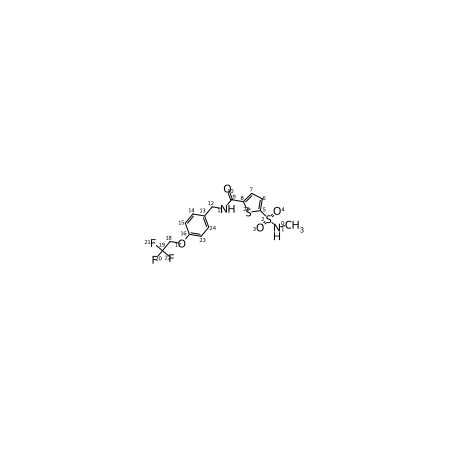 CNS(=O)(=O)c1ccc(C(=O)NCc2ccc(OCC(F)(F)F)cc2)s1